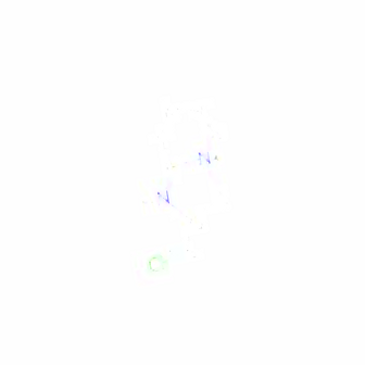 ClCC1CN2CCC=CC2=N1